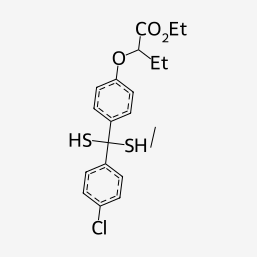 CC.CCOC(=O)C(CC)Oc1ccc(C(S)(S)c2ccc(Cl)cc2)cc1